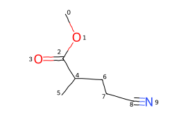 COC(=O)C(C)CCC#N